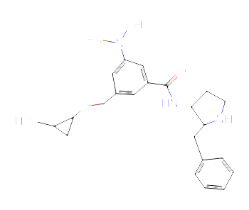 CC1CC1OCc1cc(C(=O)N[C@@H]2CCNC2Cc2ccccc2)cc(N(C)S)c1